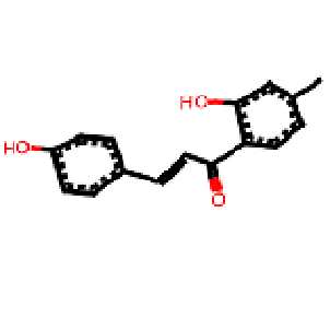 Cc1ccc(C(=O)/C=C/c2ccc(O)cc2)c(O)c1